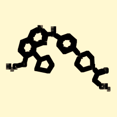 CCC(=O)N1CCN(c2ccc(Nc3ncc4ccc(OC)c(C5CCCC5)c4n3)cc2)CC1